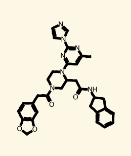 Cc1cc(N2CCN(C(=O)Cc3ccc4c(c3)OCO4)CC2CC(=O)NC2Cc3ccccc3C2)nc(-n2ccnc2)n1